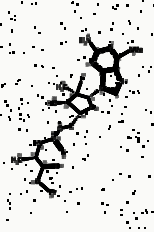 CNc1nc(N)nc2c1ncn2[C@@H]1O[C@H](CO[PH](=S)N[C@H](C)C(=O)OC(C)C)[C@@H](O)[C@@]1(C)F